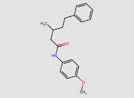 COc1ccc(NC(=O)CC(C)CCc2ccccc2)cc1